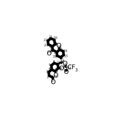 O=c1ccc2ccc([I+](OS(=O)(=O)C(F)(F)F)c3ccc4oc5ccccc5c(=O)c4c3)cc2o1